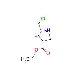 CCOC(=O)C1CN=C(CCl)N1